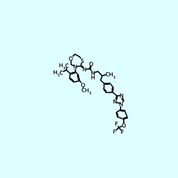 COc1ccc(C(C)C)c(N2COCCS/C2=N\C(=O)NCC(C)Cc2ccc(-c3ncn(-c4ccc(OC(F)(F)F)cc4)n3)cc2)c1